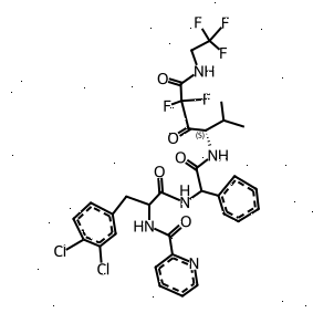 CC(C)[C@H](NC(=O)C(NC(=O)C(Cc1ccc(Cl)c(Cl)c1)NC(=O)c1ccccn1)c1ccccc1)C(=O)C(F)(F)C(=O)NCC(F)(F)F